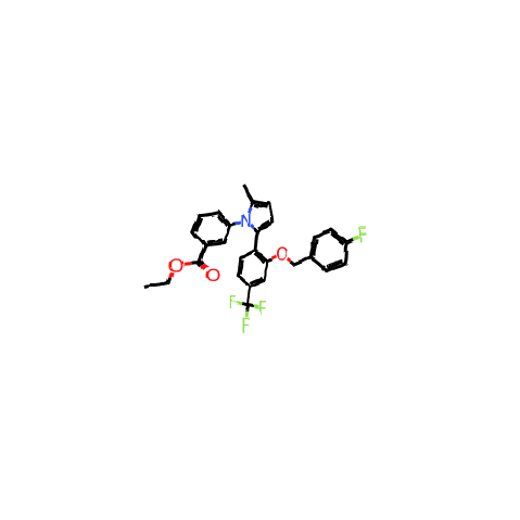 CCOC(=O)c1cccc(-n2c(C)ccc2-c2ccc(C(F)(F)F)cc2OCc2ccc(F)cc2)c1